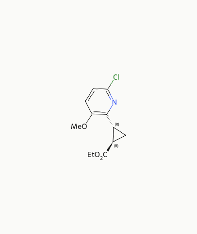 CCOC(=O)[C@@H]1C[C@H]1c1nc(Cl)ccc1OC